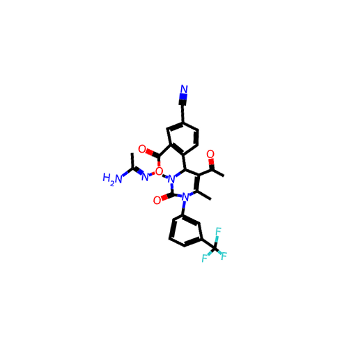 CC(=O)C1=C(C)N(c2cccc(C(F)(F)F)c2)C(=O)N(C)C1c1ccc(C#N)cc1C(=O)O/N=C(\C)N